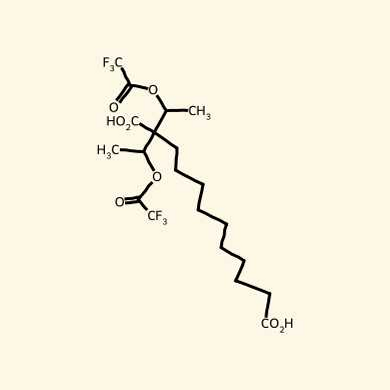 CC(OC(=O)C(F)(F)F)C(CCCCCCCCCC(=O)O)(C(=O)O)C(C)OC(=O)C(F)(F)F